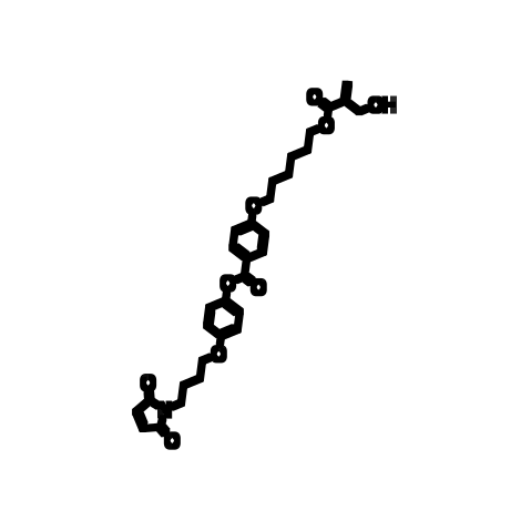 C=C(CO)C(=O)OCCCCCCOc1ccc(C(=O)Oc2ccc(OCCCCN3C(=O)C=CC3=O)cc2)cc1